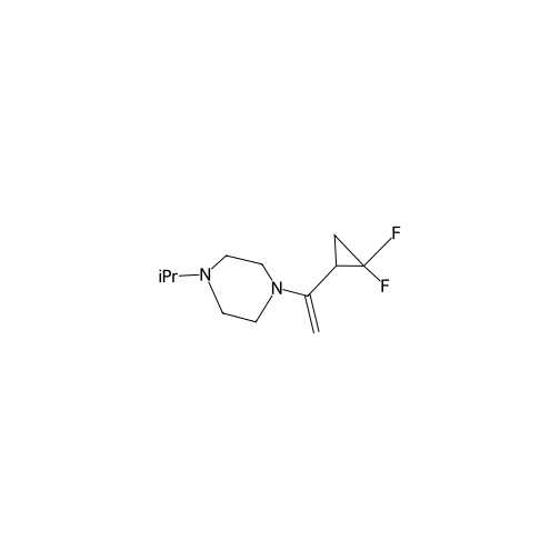 C=C(C1CC1(F)F)N1CCN(C(C)C)CC1